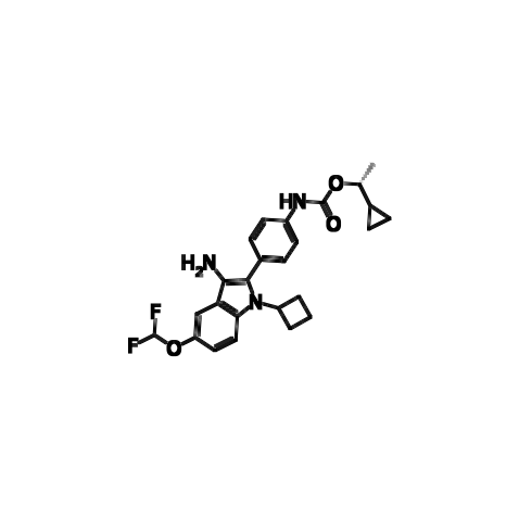 C[C@@H](OC(=O)Nc1ccc(-c2c(N)c3cc(OC(F)F)ccc3n2C2CCC2)cc1)C1CC1